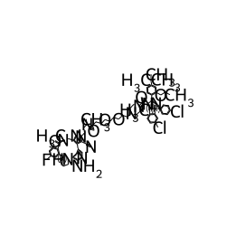 CCOc1cc(C(C)(C)C)ccc1C1=N[C@]2(c3ccc(Cl)cc3)c3cc(Cl)ccc3[C@@]2(C)N1C(=O)N1CCN(CCOCCOCCC(=O)N(C)CCn2nc3c(c2C#N)-c2cnc(N)c(c2)N2CCC[C@@H]2c2cc(F)ccc2C(=O)N(C)C3)CC1